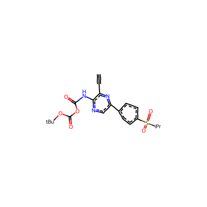 C#Cc1nc(-c2ccc(S(=O)(=O)C(C)C)cc2)cnc1NC(=O)OC(=O)OC(C)(C)C